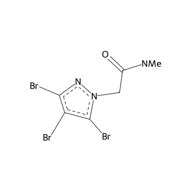 CNC(=O)Cn1nc(Br)c(Br)c1Br